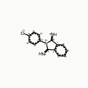 N=C1c2ccccc2C(=N)N1c1ccc(Cl)cc1